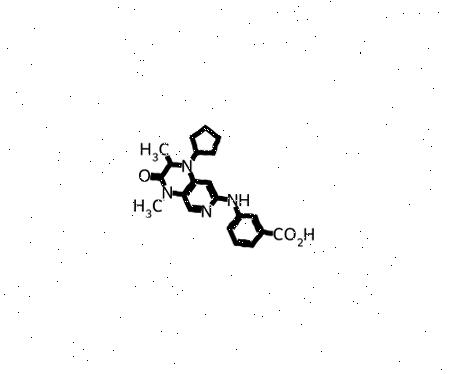 CC1C(=O)N(C)c2cnc(Nc3cccc(C(=O)O)c3)cc2N1C1CCCC1